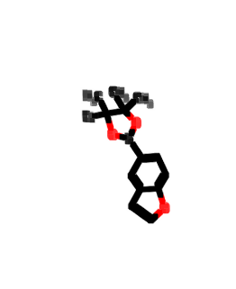 CCC1(C)OB(c2ccc3occc3c2)OC1(C)C